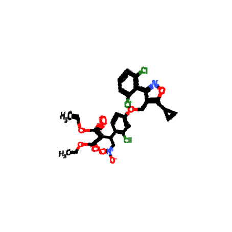 CCOC(=O)C(C(=O)OCC)C(C[N+](=O)[O-])c1ccc(OCc2c(-c3c(Cl)cccc3Cl)noc2C2CC2)cc1Cl